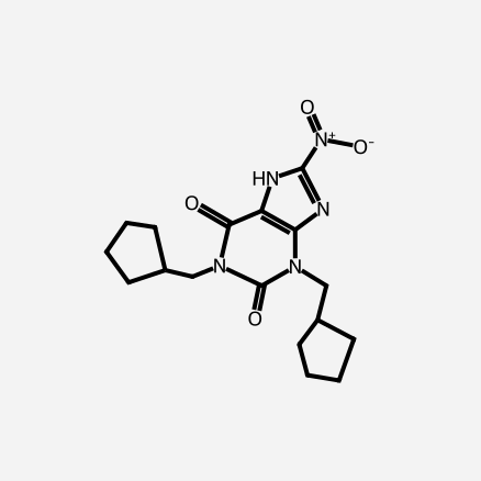 O=c1c2[nH]c([N+](=O)[O-])nc2n(CC2CCCC2)c(=O)n1CC1CCCC1